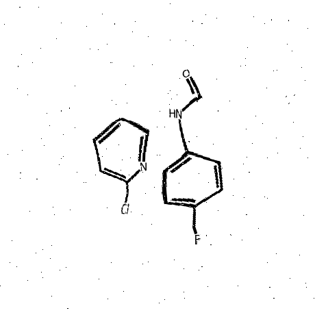 Clc1ccccn1.O=CNc1ccc(F)cc1